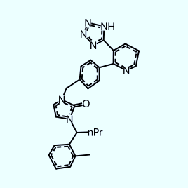 CCCC(c1ccccc1C)n1ccn(Cc2ccc(-c3ncccc3-c3nnn[nH]3)cc2)c1=O